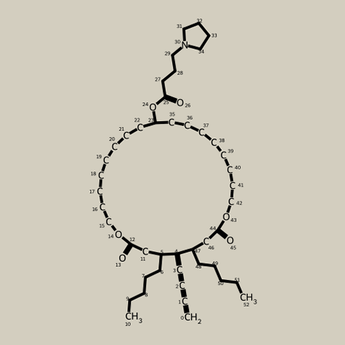 C=C=C=C=C1C(CCCCC)CC(=O)OCCCCCCCCC(OC(=O)CCCN2CCCC2)CCCCCCCCOC(=O)CC1CCCCC